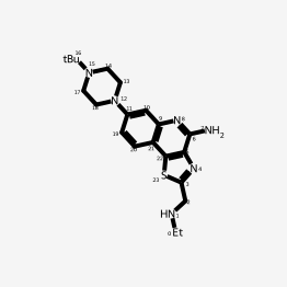 CCNCc1nc2c(N)nc3cc(N4CCN(C(C)(C)C)CC4)ccc3c2s1